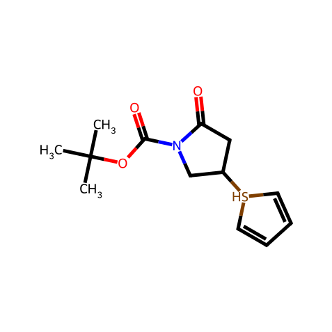 CC(C)(C)OC(=O)N1CC([SH]2C=CC=C2)CC1=O